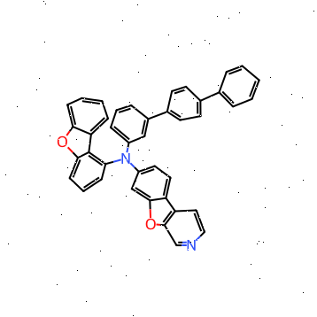 c1ccc(-c2ccc(-c3cccc(N(c4ccc5c(c4)oc4cnccc45)c4cccc5oc6ccccc6c45)c3)cc2)cc1